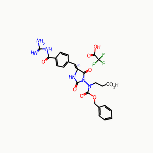 N=C(N)NC(=O)c1ccc(/C=C2\NC(=O)N(N(CCC(=O)O)C(=O)OCc3ccccc3)C2=O)cc1.O=C(O)C(F)(F)F